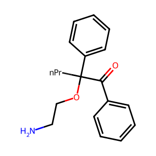 CCCC(OCCN)(C(=O)c1ccccc1)c1ccccc1